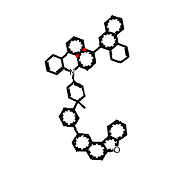 CC1(c2cccc(-c3ccc4ccc5oc6ccccc6c5c4c3)c2)C=CC(N(C2=CC=CCC2c2ccccc2)c2ccc(-c3cc4ccccc4c4c3CCC=C4)cc2)=CC1